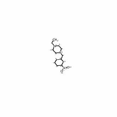 CCN1CCN(CC2CCCC([N+](=O)[O-])C2)CC1